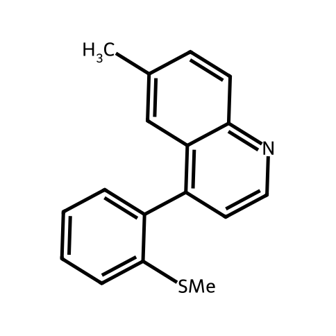 CSc1ccccc1-c1ccnc2ccc(C)cc12